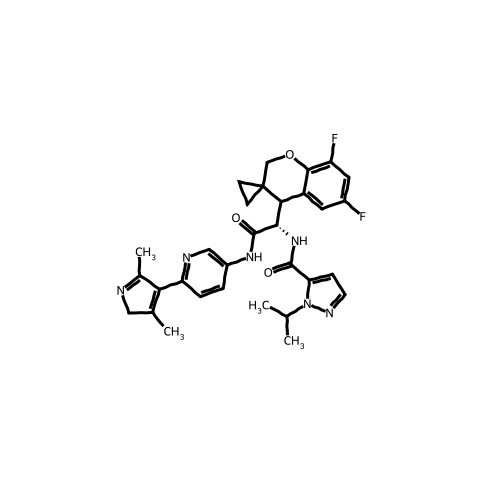 CC1=NCC(C)=C1c1ccc(NC(=O)[C@@H](NC(=O)c2ccnn2C(C)C)C2c3cc(F)cc(F)c3OCC23CC3)cn1